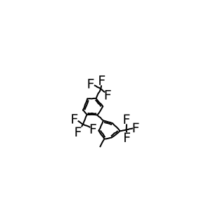 Cc1cc(-c2cc(C(F)(F)F)ccc2C(F)(F)F)cc(C(F)(F)F)c1